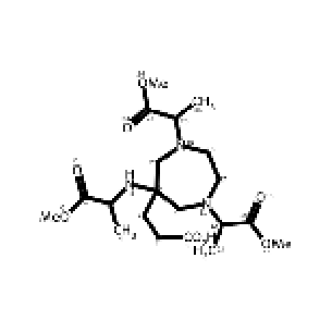 COC(=O)C(C)NC1(CCC(=O)O)CN(C(C)C(=O)OC)CCN(C(C)C(=O)OC)C1